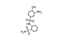 Nc1cc(S(=O)(=O)Nc2ccccc2S(N)(=O)=O)ccc1O